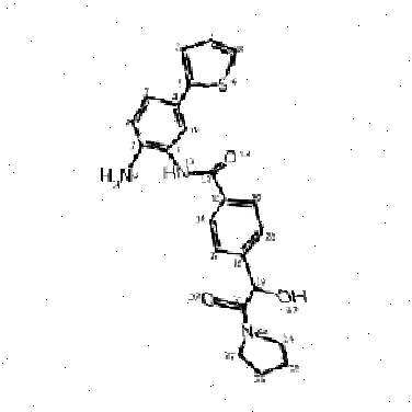 Nc1ccc(-c2cccs2)cc1NC(=O)c1ccc(C(O)C(=O)N2CCCC2)cc1